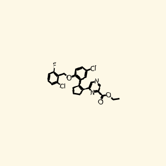 CCOC(=O)c1cncc(C2=C(c3cc(Cl)ccc3OCc3c(F)cccc3Cl)CCC2)n1